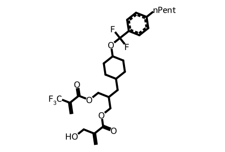 C=C(CO)C(=O)OCC(COC(=O)C(=C)C(F)(F)F)CC1CCC(OC(F)(F)c2ccc(CCCCC)cc2)CC1